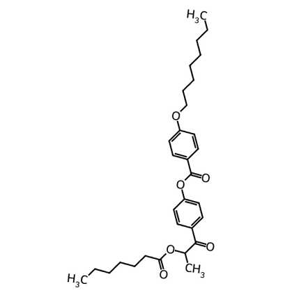 CCCCCCCCOc1ccc(C(=O)Oc2ccc(C(=O)C(C)OC(=O)CCCCCC)cc2)cc1